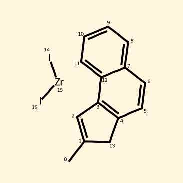 CC1=[C]c2c(ccc3ccccc23)C1.[I][Zr][I]